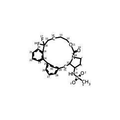 CS(=O)(=O)NC1CCN2C(=O)OCCCCC(F)(F)c3ccccc3-c3cccc(c3)CC12